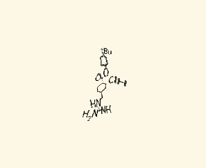 CC(C)(C)c1ccc(OC(=O)[C@H]2CC[C@H](CNC(=N)N)CC2)cc1.Cl